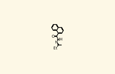 CCC(C)=NNC(=O)c1cccc2ccccc12